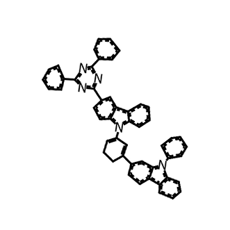 C1=C(c2ccc3c4ccccc4n(-c4ccccc4)c3c2)CCC=C1n1c2ccccc2c2cc(-c3nc(-c4ccccc4)nc(-c4ccccc4)n3)ccc21